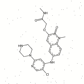 CNC(=O)COc1cc2cc(Nc3cc(N4CCNCC4)ncc3Cl)ccc2n(C)c1=O